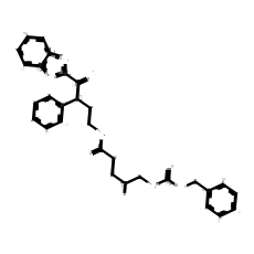 CC(CCC(=O)NCCC(C(=O)c1nc2ccccc2o1)c1ccccc1)CNC(=O)OCc1ccccc1